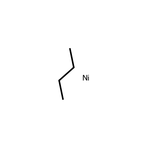 CCCC.[Ni]